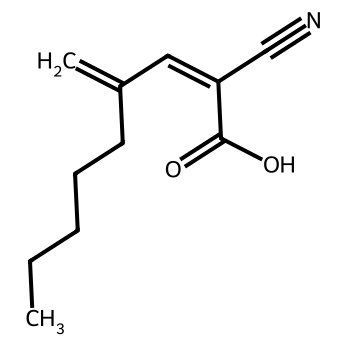 C=C(C=C(C#N)C(=O)O)CCCCC